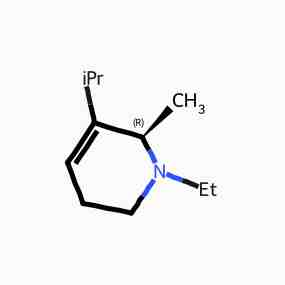 CCN1CCC=C(C(C)C)[C@H]1C